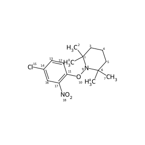 CC1(C)CCCC(C)(C)N1Oc1ccc(Cl)cc1[N+](=O)[O-]